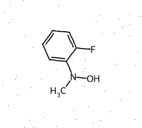 CN(O)c1ccccc1F